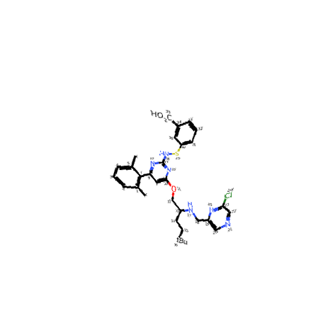 Cc1cccc(C)c1-c1cc(OCC(CCC(C)(C)C)NCc2cncc(Cl)n2)nc(NSc2cccc(C(=O)O)c2)n1